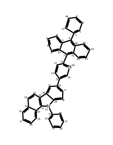 c1ccc(-c2c3ccccc3c(-c3ccc(-c4ccc5c(c4)c4ccc6ccccc6c4n5-c4ccccc4)cn3)c3ccccc23)cc1